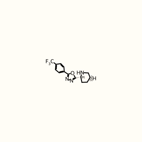 [2H][C@H]1CC[C@H](c2nnc(-c3ccc(C(F)(F)F)cc3)o2)NC1